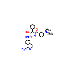 CON(OC)c1cccc(C(=O)NC(c2ccccc2)C(O)C(=O)Nc2ccc3c(N)nccc3c2)c1